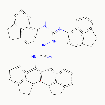 c1cc2c3c(ccc(N=C(NNC(=Nc4ccc5c6c(cccc46)CC5)Nc4ccc5c6c(cccc46)CC5)Nc4ccc5c6c(cccc46)CC5)c3c1)CC2